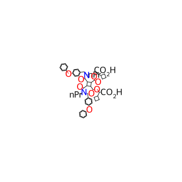 CCCN(Cc1ccc(Oc2ccccc2)cc1)C(=O)C1C(C(=O)OC(C(=O)O)C2CCC2)C(C(=O)OC(C(=O)O)C2CCC2)C1C(=O)N(CCC)Cc1ccc(Oc2ccccc2)cc1